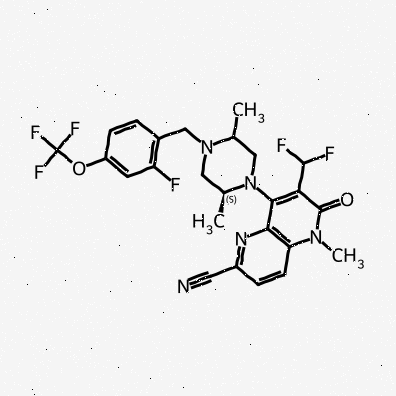 CC1CN(c2c(C(F)F)c(=O)n(C)c3ccc(C#N)nc23)[C@@H](C)CN1Cc1ccc(OC(F)(F)F)cc1F